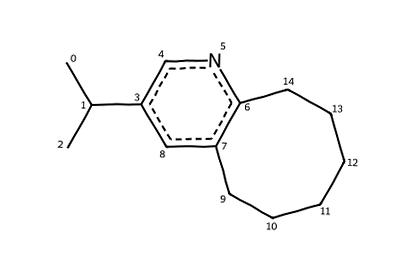 CC(C)c1cnc2c(c1)CCCCCC2